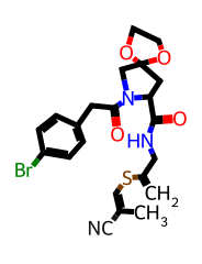 C=C(CNC(=O)C1CC2(CN1C(=O)Cc1ccc(Br)cc1)OCCO2)S/C=C(\C)C#N